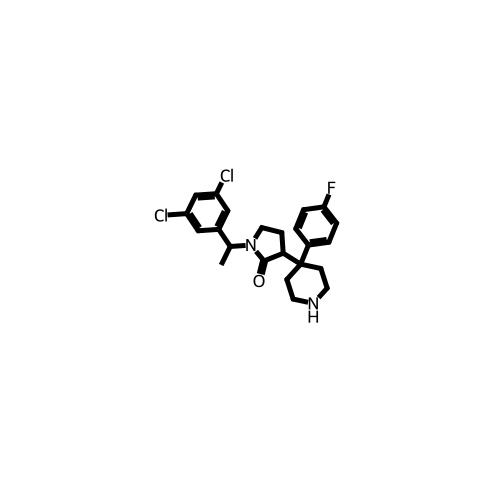 CC(c1cc(Cl)cc(Cl)c1)N1CCC(C2(c3ccc(F)cc3)CCNCC2)C1=O